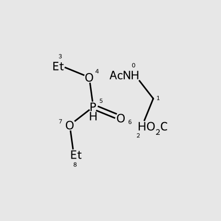 CC(=O)NCC(=O)O.CCO[PH](=O)OCC